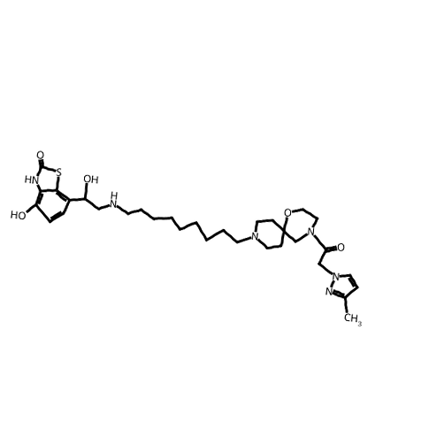 Cc1ccn(CC(=O)N2CCOC3(CCN(CCCCCCCCCNCC(O)c4ccc(O)c5[nH]c(=O)sc45)CC3)C2)n1